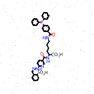 O=C(NCCCCC(NC(=O)c1ccc(N/N=C\c2ccccc2S(=O)(=O)O)nc1)C(=O)O)c1ccc(P(c2ccccc2)c2ccccc2)cc1